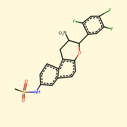 CS(=O)(=O)Nc1ccc2c3c(ccc2c1)OC(c1cc(F)c(F)cc1F)C([N+](=O)[O-])C3